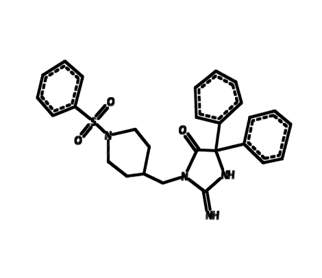 N=C1NC(c2ccccc2)(c2ccccc2)C(=O)N1CC1CCN(S(=O)(=O)c2ccccc2)CC1